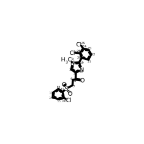 Cn1cc(C(=O)CCS(=O)(=O)c2ccccc2Cl)nc1-c1cccc(Cl)c1Cl